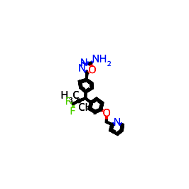 CC(C)(C(F)F)C(c1ccc(OCc2ccccn2)cc1)c1ccc(-c2nnc(N)o2)cc1